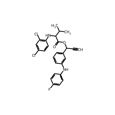 C#CC(OC(=O)C(Nc1ccc(Cl)cc1Cl)C(C)C)c1cccc(Nc2ccc(F)cc2)c1